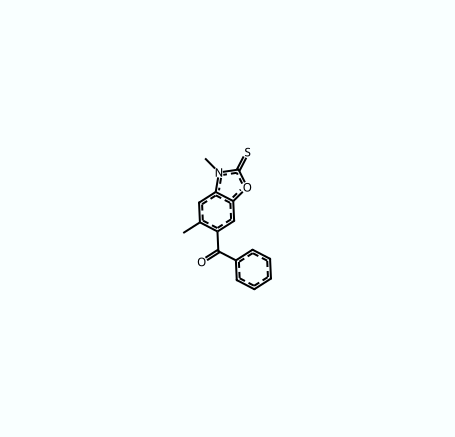 Cc1cc2c(cc1C(=O)c1ccccc1)oc(=S)n2C